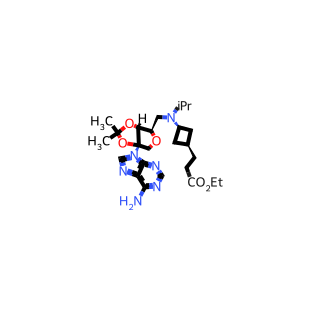 CCOC(=O)CC[C@H]1C[C@@H](N(C[C@H]2OC[C@]3(n4cnc5c(N)ncnc54)OC(C)(C)O[C@H]23)C(C)C)C1